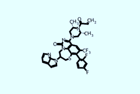 C=CC(=O)N1[C@H](C)CN(c2nc(=O)n3c4c(c(-c5ccc(F)cc5F)c(C(F)(F)F)cc24)SCC(n2ccc4cccnc42)C3)C[C@@H]1C